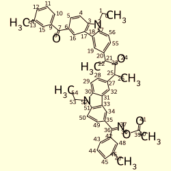 CCn1c2ccc(C(=O)c3cccc(C)c3)cc2c2cc(C(C)C(=O)C(C)c3ccc4c(c3)c3cc(C(=NOC(C)=O)c5cccc(C)c5)ccc3n4CC)ccc21